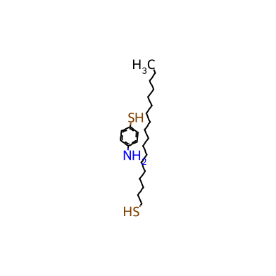 CCCCCCCCCCCCCCCCCCS.Nc1ccc(S)cc1